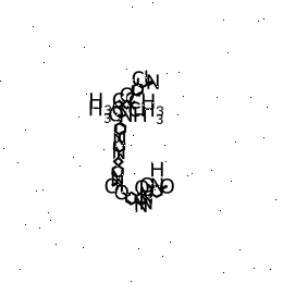 CC1(C)[C@H](NC(=O)c2ccc(N3CCN(C4CC5(CCN(C(=O)COc6ccc7nnn(C8CCC(=O)NC8=O)c(=O)c7c6)CC5)C4)CC3)cc2)C(C)(C)[C@H]1Oc1ccc(C#N)c(Cl)c1